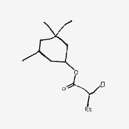 CCC(Cl)C(=O)OC1CC(C)CC(C)(C)C1